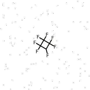 FC1C(F)(F)C(F)(F)C1(F)F